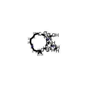 [2H]C([2H])([2H])/N=C(\N)NN1CC(=O)OC(C)(C)CC/C=C/CCCCCCC(=O)N/C1=N\C(=O)O